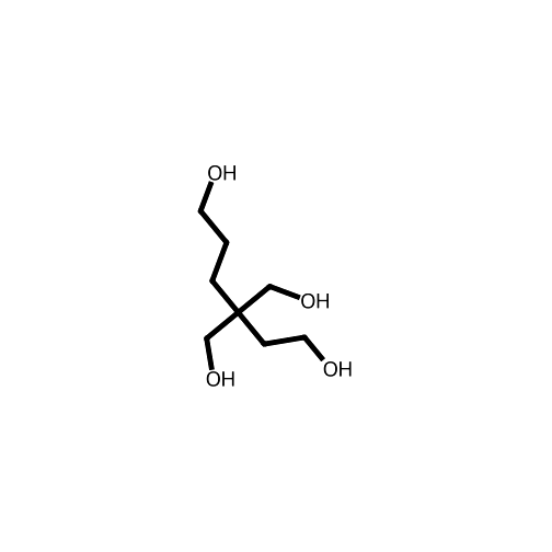 OCCCC(CO)(CO)CCO